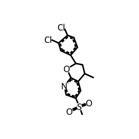 CC1CC(c2ccc(Cl)c(Cl)c2)Oc2ncc(S(C)(=O)=O)cc21